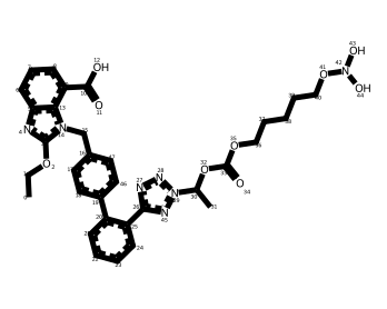 CCOc1nc2cccc(C(=O)O)c2n1Cc1ccc(-c2ccccc2-c2nnn(C(C)OC(=O)OCCCCCON(O)O)n2)cc1